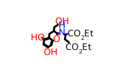 CCOC(=O)CCC(NC(=O)C(CCO)Cc1ccc(O)cc1O)C(=O)OCC